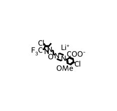 COc1cc(N2CCN(C(=O)Cn3nc(C(F)(F)F)c(Cl)c3C)CC2)c(C(=O)[O-])cc1Cl.[Li+]